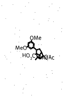 COc1cc(OC)cc(C2CC3C(OC(C)=O)C=C(C)C2(C(=O)O)C3OC(C)=O)c1